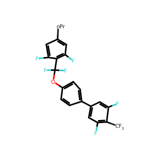 CCCc1cc(F)c(C(F)(F)Oc2ccc(-c3cc(F)c(C(F)(F)F)c(F)c3)cc2)c(F)c1